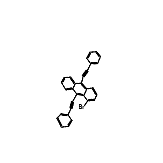 Brc1cccc2c(C#Cc3ccccc3)c3ccccc3c(C#Cc3ccccc3)c12